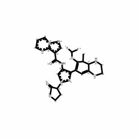 CC1C(OC(F)F)=C(c2nn(C3CCOC3=O)cc2NC(=O)c2cnn3cccnc23)C=C2OCCNC21